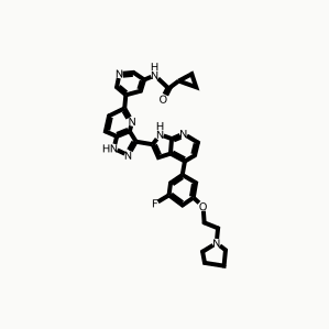 O=C(Nc1cncc(-c2ccc3[nH]nc(-c4cc5c(-c6cc(F)cc(OCCN7CCCC7)c6)ccnc5[nH]4)c3n2)c1)C1CC1